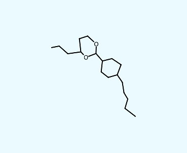 CCCCCC1CCC(C2OCCC(CCC)O2)CC1